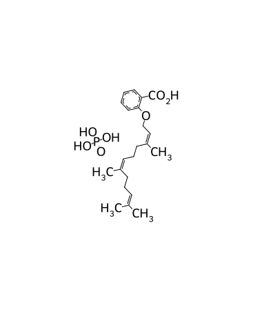 CC(C)=CCCC(C)=CCCC(C)=CCOc1ccccc1C(=O)O.O=P(O)(O)O